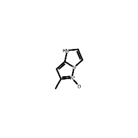 Cc1cc2[nH]ccn2[n+]1[O-]